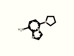 Nc1ccc(N2CCCC2)n2ccnc12